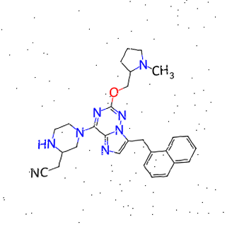 CN1CCCC1COc1nc(N2CCNC(CC#N)C2)c2ncc(Cc3cccc4ccccc34)n2n1